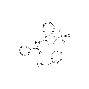 NCc1ccccc1.O=C(Nc1ccc(S(=O)(=O)Cl)c2ccccc12)c1ccccc1